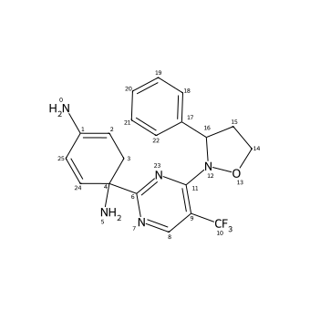 NC1=CCC(N)(c2ncc(C(F)(F)F)c(N3OCCC3c3ccccc3)n2)C=C1